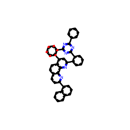 c1ccc(-c2nc(-c3ccccc3)nc(-c3ccccc3-c3cc(-c4ccccc4)c4ccc5ccc(-c6cccc7ccccc67)nc5c4n3)n2)cc1